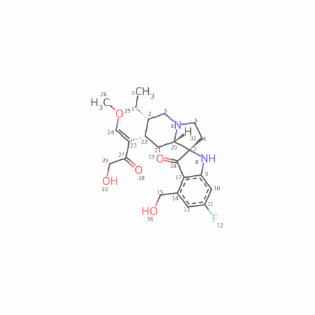 CC[C@@H]1CN2CC[C@]3(Nc4cc(F)cc(CO)c4C3=O)[C@@H]2C[C@@H]1/C(=C\OC)C(=O)CO